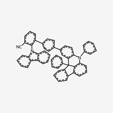 N#Cc1cccc(-c2ccc(-c3ccc4c(c3)C3(c5ccccc5)c5ccccc5-c5cccc(c53)N4c3ccccc3)cc2)c1-n1c2ccccc2c2ccccc21